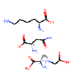 C[C@H](N)C(=O)O.NC(=O)C[C@H](N)C(=O)O.NCC(=O)O.NCCCC[C@H](N)C(=O)O